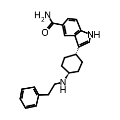 NC(=O)c1ccc2[nH]cc([C@H]3CC[C@H](NCCc4ccccc4)CC3)c2c1